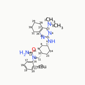 CN(C)c1nc(N[C@H]2CC[C@@H](CN(C(N)=O)c3ccccc3C(C)(C)C)CC2)nc2c1CCCC2